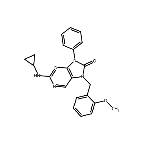 COc1ccccc1Cn1c(=O)n(-c2ccccc2)c2nc(NC3CC3)ncc21